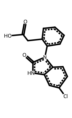 O=C(O)Cc1ccccc1-n1c(=O)[nH]c2cc(Cl)ccc21